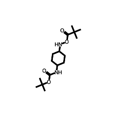 CC(C)(C)OC(=O)NC1CCC(NOC(=O)C(C)(C)C)CC1